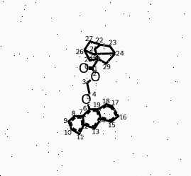 O=C(OCCOc1c2ccccc2cc2ccccc12)C12CC3CC(CC(C3)C1)C2